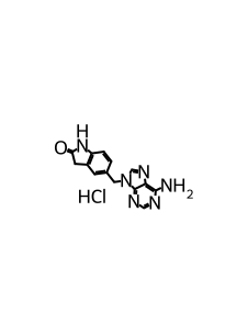 Cl.Nc1ncnc2c1ncn2Cc1ccc2c(c1)CC(=O)N2